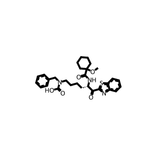 COC1(C(=O)N[C@@H](CCCCN(Cc2ccccc2)C(=O)O)C(=O)c2nc3ccccc3s2)CCCCC1